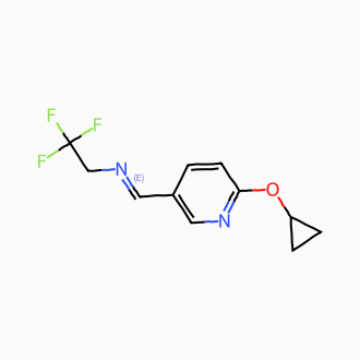 FC(F)(F)C/N=C/c1ccc(OC2CC2)nc1